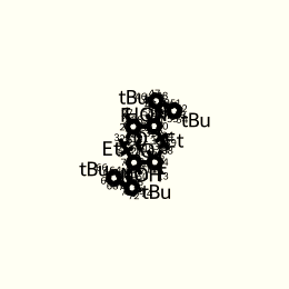 CCC(C)(C)C(C)(C)c1cc(-c2cc(F)cc(C)c2OCCOc2c(C)cc(F)cc2-c2cc(C(C)(C)C(C)(C)CC)cc(-n3c4cc(C(C)(C)C)ccc4c4ccc(C(C)(C)C)cc43)c2O)c(O)c(-n2c3cc(C(C)(C)C)ccc3c3ccc(C(C)(C)C)cc32)c1